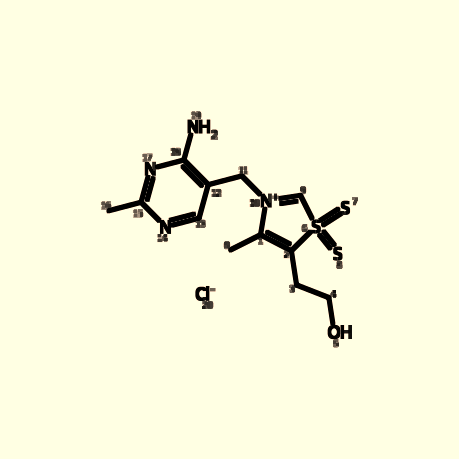 CC1=C(CCO)S(=S)(=S)C=[N+]1Cc1cnc(C)nc1N.[Cl-]